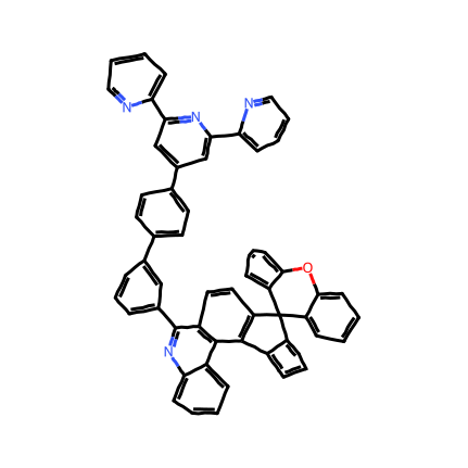 c1ccc(-c2cc(-c3ccc(-c4cccc(-c5nc6ccccc6c6c7c(ccc56)C5(c6ccccc6Oc6ccccc65)c5ccccc5-7)c4)cc3)cc(-c3ccccn3)n2)nc1